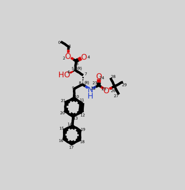 CCOC(=O)[C@H](O)C[C@@H](Cc1c#cc(-c2ccccc2)cc1)NC(=O)OC(C)(C)C